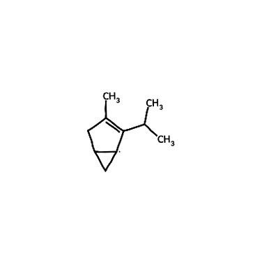 CC1=C(C(C)C)[C]2CC2C1